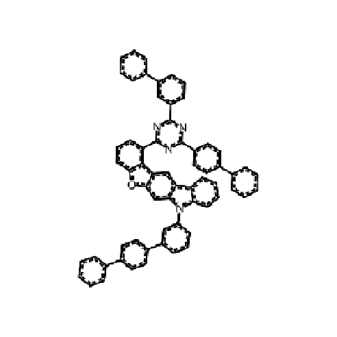 c1ccc(-c2ccc(-c3cccc(-n4c5ccccc5c5cc6c(cc54)oc4cccc(-c5nc(-c7ccc(-c8ccccc8)cc7)nc(-c7cccc(-c8ccccc8)c7)n5)c46)c3)cc2)cc1